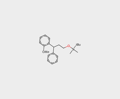 COc1ccccc1C(CCO[Si](C)(C)C(C)(C)C)c1ccccc1